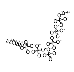 O=P([O-])([O-])[O-].O=P([O-])([O-])[O-].O=P([O-])([O-])[O-].O=P([O-])([O-])[O-].O=P([O-])([O-])[O-].O=P([O-])([O-])[O-].[Co+2].[Co+2].[Co+2].[Zr+4].[Zr+4].[Zr+4]